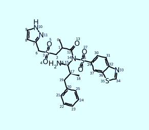 CC(CS(=O)(=O)Cc1cc[nH]n1)C(=O)N([C@H](N)[C@@H](C)Cc1ccccc1)S(=O)(=O)c1ccc2ncsc2c1